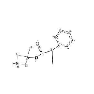 CC1(OC(=O)C(I)c2ccccc2)CNC1